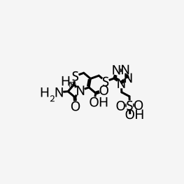 NC1C(=O)N2C(C(=O)O)=C(CSc3nnnn3CCS(=O)(=O)O)CS[C@H]12